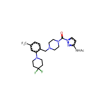 CC(=O)Nc1ccn(C(=O)N2CCN(Cc3ccc(C(F)(F)F)cc3N3CCC(F)(F)CC3)CC2)n1